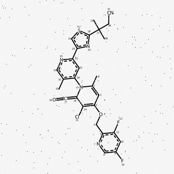 CC1=CC(OCc2ncc(F)cc2F)=C(Cl)C(=C=O)N1c1cc(-c2csc(C(C)(C)CC#N)n2)ncc1C